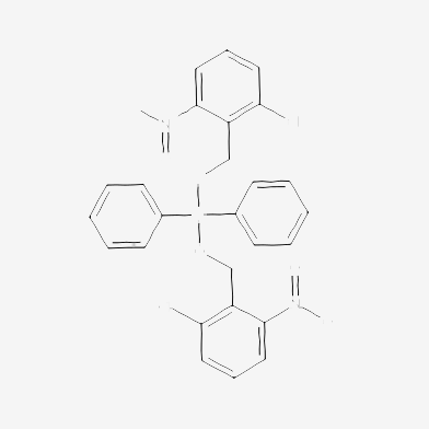 O=[N+]([O-])c1cccc(Cl)c1CO[Si](OCc1c(Cl)cccc1[N+](=O)[O-])(c1ccccc1)c1ccccc1